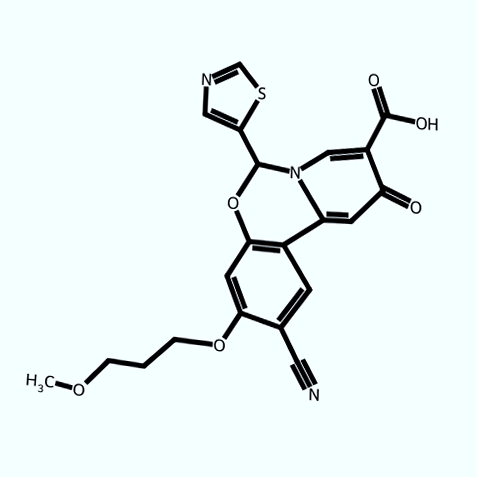 COCCCOc1cc2c(cc1C#N)-c1cc(=O)c(C(=O)O)cn1C(c1cncs1)O2